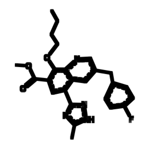 CCCCOc1c(C(=O)OC)cc(-c2n[nH]c(C)n2)c2cc(Cc3ccc(F)cc3)cnc12